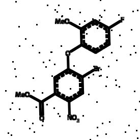 COC(=O)c1cc(Oc2ccc(F)cc2OC)c(Br)cc1[N+](=O)[O-]